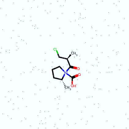 C[C@H](CCl)C(=O)[N+]1(C(=O)O)CCC[C@H]1C